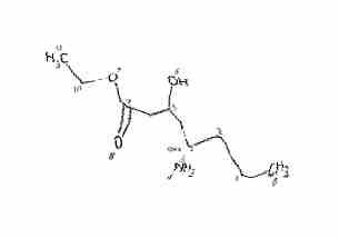 CCC[C@H](N)C(O)C(=O)OCC